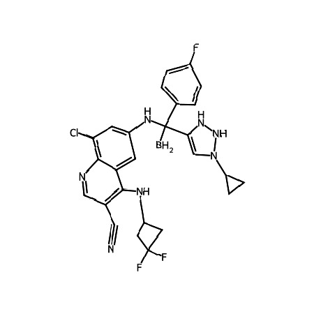 BC(Nc1cc(Cl)c2ncc(C#N)c(NC3CC(F)(F)C3)c2c1)(C1=CN(C2CC2)NN1)c1ccc(F)cc1